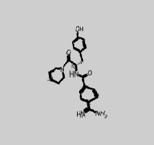 N=C(N)c1ccc(C(=O)N[C@@H](Cc2ccc(O)cc2)C(=O)N2CC[CH]CC2)cc1